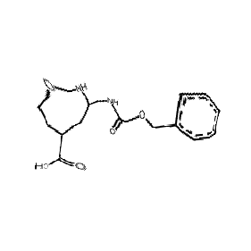 O=C(NC1CC(C(=O)O)CCON1)OCc1ccccc1